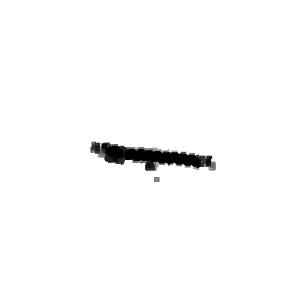 CCCCCCCCCCCCCCCCCCOC(=O)CC(C)=O.[Al]